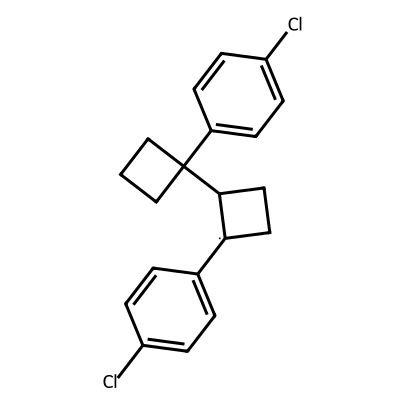 Clc1ccc([C]2CCC2C2(c3ccc(Cl)cc3)CCC2)cc1